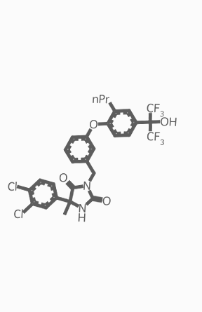 CCCc1cc(C(O)(C(F)(F)F)C(F)(F)F)ccc1Oc1cccc(CN2C(=O)NC(C)(c3ccc(Cl)c(Cl)c3)C2=O)c1